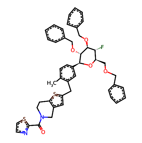 Cc1ccc([C@@H]2O[C@H](COCc3ccccc3)[C@@H](F)[C@H](OCc3ccccc3)[C@H]2OCc2ccccc2)cc1Cc1cc2c(s1)CCN(C(=O)c1nccs1)C2